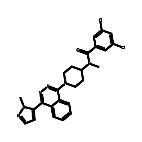 CN(C(=O)c1cc(Cl)cc(Cl)c1)C1CCN(c2nnc(-c3ccnn3C)c3ccccc23)CC1